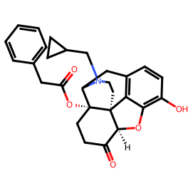 O=C(Cc1ccccc1)O[C@@]12CCC(=O)[C@@H]3Oc4c(O)ccc5c4[C@@]31CCN(CC1CC1)C2C5